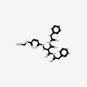 CCOC(=O)/C=C\C(=O)OCC(C(=O)OC(=O)Cc1ccccc1)C(=O)OC(=O)Cc1ccccc1